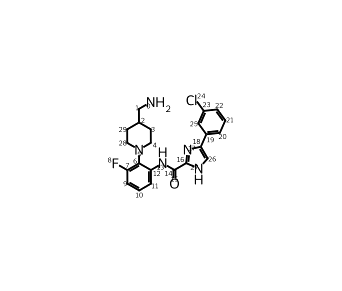 NCC1CCN(c2c(F)cccc2NC(=O)c2nc(-c3cccc(Cl)c3)c[nH]2)CC1